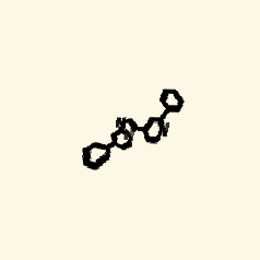 c1ccc(-c2ccn3c(-c4ccnc(-c5ccccc5)c4)cnc3c2)cc1